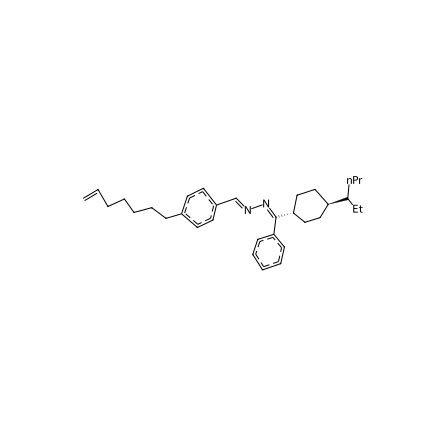 C=CCCCCCc1ccc(C=NN=C(c2ccccc2)[C@H]2CC[C@H](C(CC)CCC)CC2)cc1